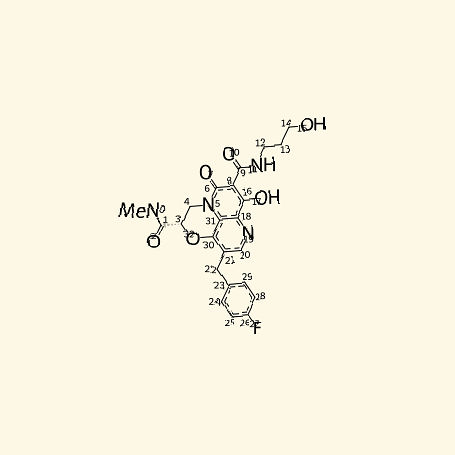 CNC(=O)[C@@H]1Cn2c(=O)c(C(=O)NCCCO)c(O)c3ncc(Cc4ccc(F)cc4)c(c32)O1